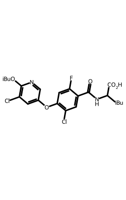 CCC(C)C(NC(=O)c1cc(Cl)c(Oc2cnc(OCC(C)C)c(Cl)c2)cc1F)C(=O)O